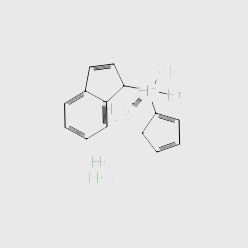 C[CH2][Hf](=[SiH2])([Cl])([C]1=CC=CC1)[CH]1C=Cc2ccccc21.Cl.Cl